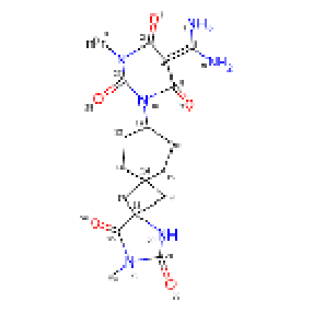 CCCN1C(=O)C(=C(N)N)C(=O)N(C2CCC3(CC2)CC2(C3)NC(=O)N(C)C2=O)C1=O